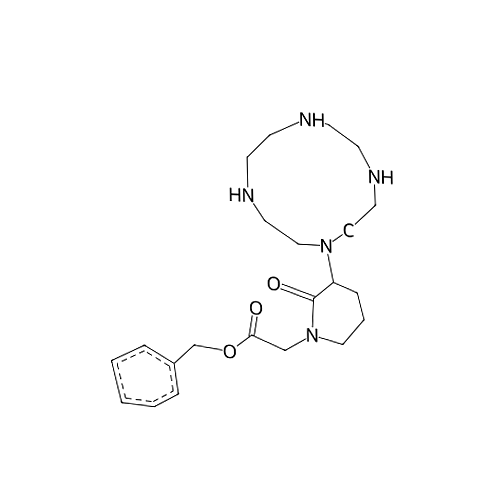 O=C(CN1CCCC(N2CCNCCNCCNCC2)C1=O)OCc1ccccc1